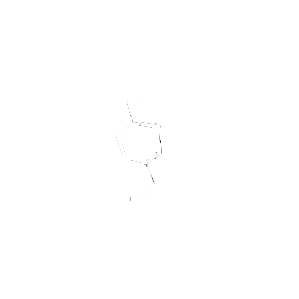 COc1ccc(C)[n+]([O-])c1